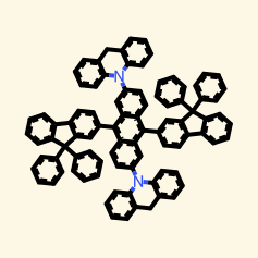 c1ccc(C2(c3ccccc3)c3ccccc3-c3ccc(-c4c5ccc(N6c7ccccc7Cc7ccccc76)cc5c(-c5ccc6c(c5)C(c5ccccc5)(c5ccccc5)c5ccccc5-6)c5ccc(N6c7ccccc7Cc7ccccc76)cc45)cc32)cc1